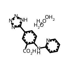 O.O.O.O=C(O)c1cc(-c2nnn[nH]2)ccc1Nc1ccccn1